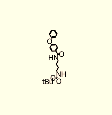 CC(C)(C)OC(=O)NCCCCNC(=O)c1ccc(Oc2ccccc2)cc1